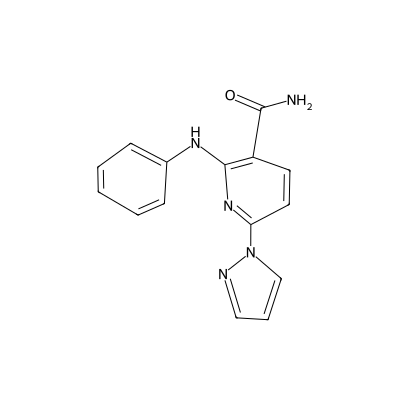 NC(=O)c1ccc(-n2cccn2)nc1Nc1ccccc1